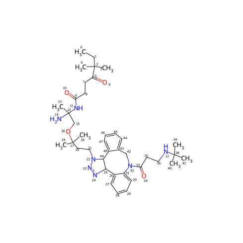 CCC(C)(C)C(=O)CCC(=O)NC(C)(N)COC(C)(C)CCN1N=NC2c3ccccc3N(C(=O)CCNC(C)(C)C)Cc3ccccc3C21